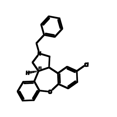 Clc1ccc2c(c1)C1CN(Cc3ccccc3)C[C@@H]1c1ccccc1O2